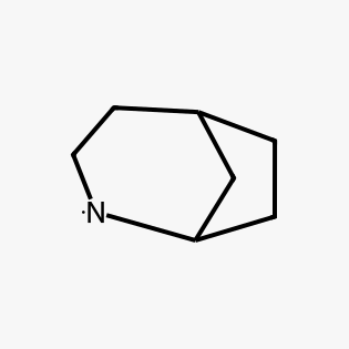 C1CC2CCC(C2)[N]1